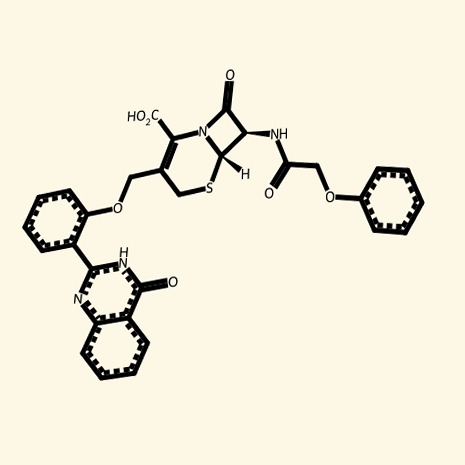 O=C(COc1ccccc1)N[C@@H]1C(=O)N2C(C(=O)O)=C(COc3ccccc3-c3nc4ccccc4c(=O)[nH]3)CS[C@@H]12